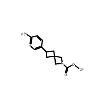 CC(C)(C)OC(=O)N1CC2(CC(c3ccc(N)nc3)C2)C1